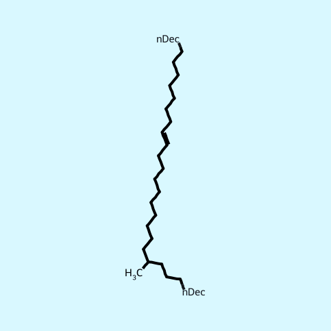 CCCCCCCCCCCCCCCCCC=CCCCCCCCCCC(C)CCCCCCCCCCCCC